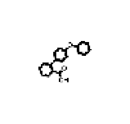 O=C(O)c1ccccc1-c1ccc(Oc2ccccc2)cc1